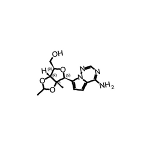 CC1O[C@@H]2[C@@H](CO)O[C@@H](c3ccc4c(N)ncnn34)[C@]2(C)O1